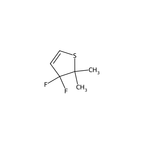 CC1(C)SC=CC1(F)F